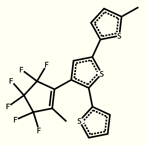 CC1=C(c2cc(-c3ccc(C)s3)sc2-c2cccs2)C(F)(F)C(F)(F)C1(F)F